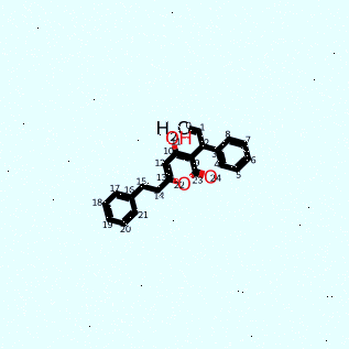 C=CC(c1ccccc1)c1c(O)cc(CCc2ccccc2)oc1=O